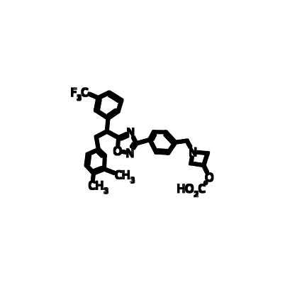 Cc1ccc(CC(c2cccc(C(F)(F)F)c2)c2nc(-c3ccc(CN4CC(OC(=O)O)C4)cc3)no2)cc1C